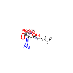 CCCCC/C=C/CC(N)(C(=O)O)P(=O)(O)O